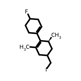 CC1=C(C2=CCC(F)CC2)[C@@H](C)CC(CI)C1